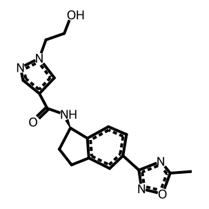 Cc1nc(-c2ccc3c(c2)CC[C@H]3NC(=O)c2cnn(CCO)c2)no1